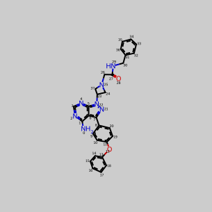 Nc1ncnc2c1c(-c1ccc(Oc3ccccc3)cc1)nn2C1CN(CC(=O)NCc2ccccc2)C1